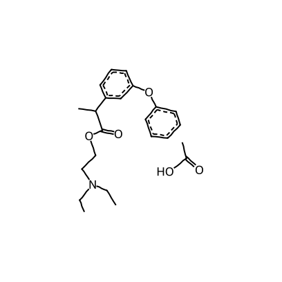 CC(=O)O.CCN(CC)CCOC(=O)C(C)c1cccc(Oc2ccccc2)c1